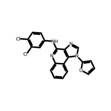 Clc1ccc(Nc2nc3ccccc3c3c2ncn3-c2ccco2)cc1Cl